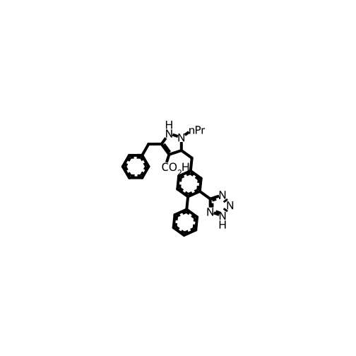 CCCN1NC(Cc2ccccc2)=C(C(=O)O)C1Cc1ccc(-c2ccccc2)c(-c2nn[nH]n2)c1